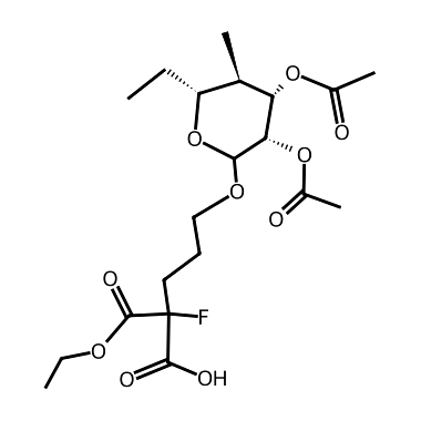 CCOC(=O)C(F)(CCCOC1O[C@H](CC)[C@@H](C)[C@H](OC(C)=O)[C@@H]1OC(C)=O)C(=O)O